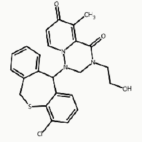 Cc1c2n(ccc1=O)N(C1c3ccccc3CSc3c(Cl)cccc31)CN(CCO)C2=O